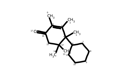 CC1=C(C)C(C)(C2CCCCC2)C(C)(C)CC1=O